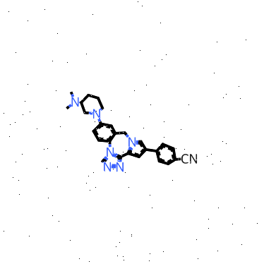 CN(C)[C@@H]1CCCN(c2ccc3c(c2)Cn2cc(-c4ccc(C#N)cc4)cc2-c2nncn2-3)C1